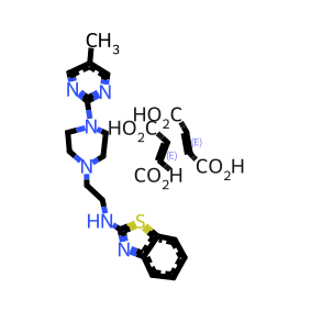 Cc1cnc(N2CCN(CCNc3nc4ccccc4s3)CC2)nc1.O=C(O)/C=C/C(=O)O.O=C(O)/C=C/C(=O)O